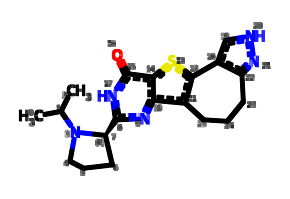 CC(C)N1CCC[C@@H]1c1nc2c3c(sc2c(=O)[nH]1)-c1c[nH]nc1CCC3